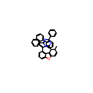 CC1C=Cc2oc3cccc(-c4cc5ccccc5c5ccccc45)c3c2C1c1nc(-c2ccccc2)nc(-c2ccccc2)n1